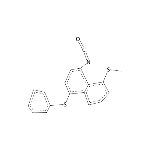 CSc1cccc2c(Sc3ccccc3)ccc(N=C=O)c12